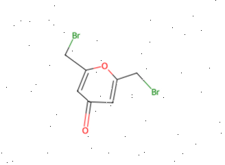 O=c1cc(CBr)oc(CBr)c1